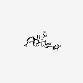 CC12CC(c3cn4cc(C(=O)Nc5cccn(C6CC6)c5=O)c(OC5CCC5)nc4n3)(CO1)C2